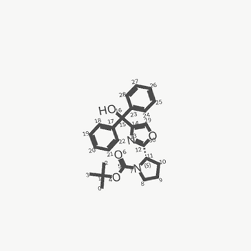 CC(C)(C)OC(=O)N1CCC[C@H]1c1nc(C(O)(c2ccccc2)c2ccccc2)co1